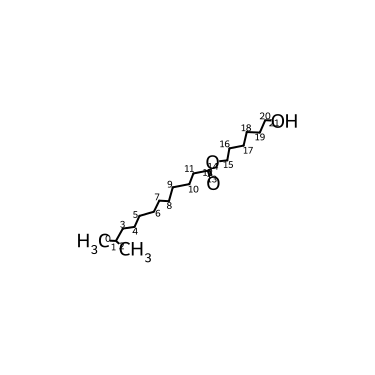 CC(C)CCCCCCCCCC(=O)OCCCCCCO